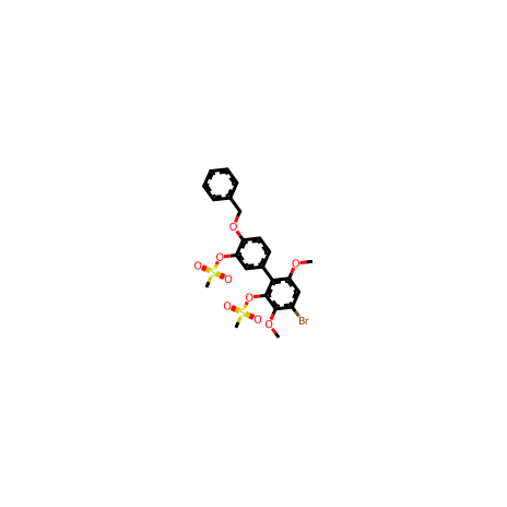 COc1cc(Br)c(OC)c(OS(C)(=O)=O)c1-c1ccc(OCc2ccccc2)c(OS(C)(=O)=O)c1